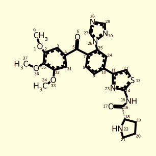 COc1cc(C(=O)c2ccc(-c3csc(NC(=O)[C@@H]4CCCN4)n3)cc2-n2cncn2)cc(OC)c1OC